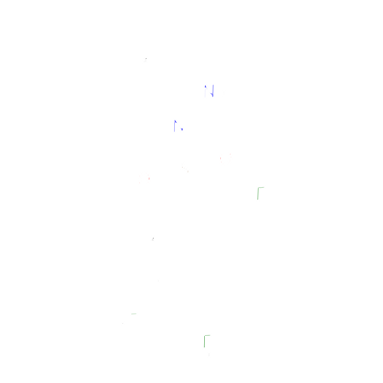 O=S(=O)(c1cc(F)c(F)cc1F)n1cccn1